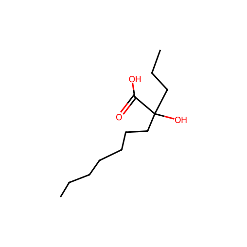 CCCCCCCC(O)(CCC)C(=O)O